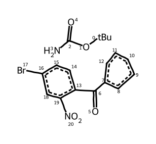 CC(C)(C)OC(N)=O.O=C(c1ccccc1)c1ccc(Br)cc1[N+](=O)[O-]